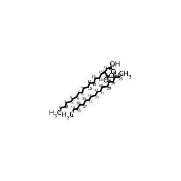 CCCCCCCCCCCCCCCCC(CC(=O)O)C(=O)O.CCCCCCCCCCCCCCCCCC